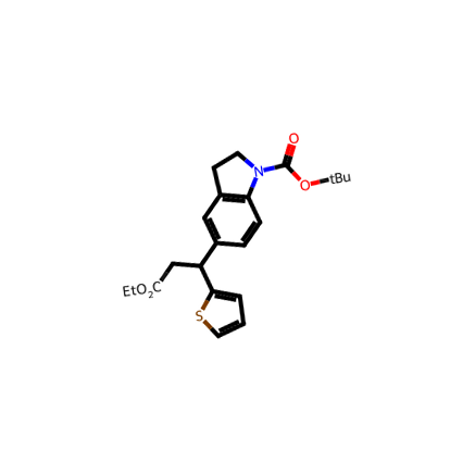 CCOC(=O)CC(c1ccc2c(c1)CCN2C(=O)OC(C)(C)C)c1cccs1